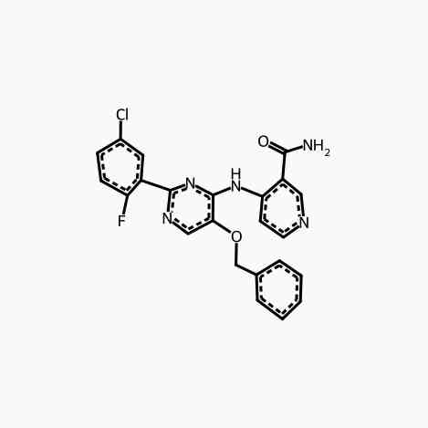 NC(=O)c1cnccc1Nc1nc(-c2cc(Cl)ccc2F)ncc1OCc1ccccc1